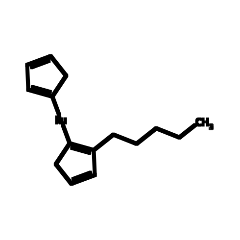 CCCCCC1=[C]([Ru][C]2=CC=CC2)CC=C1